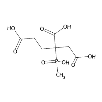 CP(=O)(O)C(CCC(=O)O)(CC(=O)O)C(=O)O